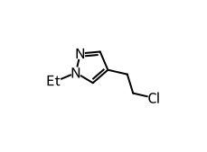 CCn1cc(CCCl)cn1